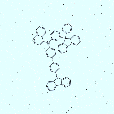 c1ccc(C2(c3cccc(N(c4ccc(-c5ccc(-n6c7ccccc7c7ccccc76)cc5)cc4)c4cccc5ccccc45)c3)c3ccccc3-c3ccccc32)cc1